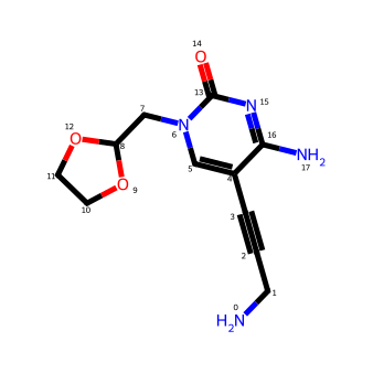 NCC#Cc1cn(CC2OCCO2)c(=O)nc1N